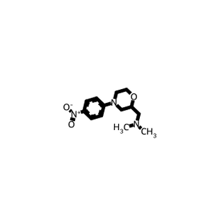 CN(C)CC1CN(c2ccc([N+](=O)[O-])cc2)CCO1